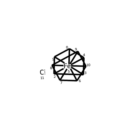 [CH]12[CH]3[CH]4[CH]5[CH]1[Fe]23451678[CH]2[CH]1[CH]6[CH]7[CH]28.[C]